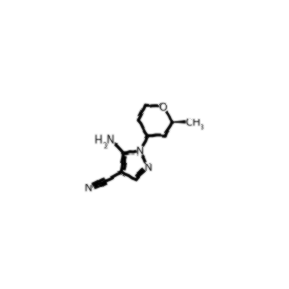 C[C@H]1CC(n2ncc(C#N)c2N)CCO1